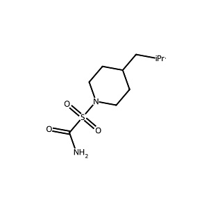 C[C](C)CC1CCN(S(=O)(=O)C(N)=O)CC1